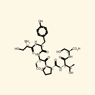 C[C@@H](O)[C@H](NC(=O)[C@@H]1CCCN1C(=O)[C@H](CC(=O)O)NC(=O)[C@H](Cc1ccc(O)cc1)NC(=O)[C@@H](N)CO)C(=O)N[C@@H](CO)C(=O)O